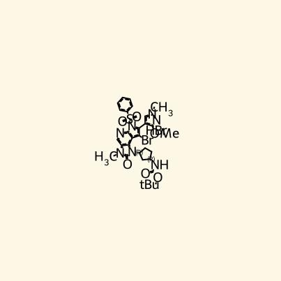 Br.COc1nn(C)cc1-c1c(Br)c2c(ncc3c2n([C@@H]2CC[C@@H](NC(=O)OC(C)(C)C)C2)c(=O)n3C)n1S(=O)(=O)c1ccccc1